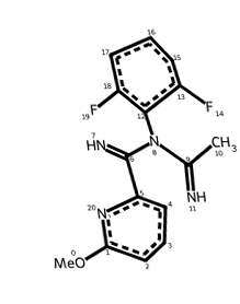 COc1cccc(C(=N)N(C(C)=N)c2c(F)cccc2F)n1